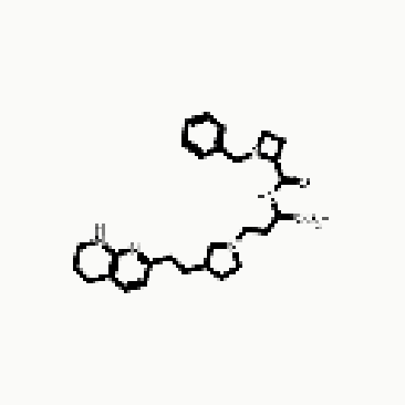 O=C(O)C(CCN1CCC(CCc2ccc3c(n2)NCCC3)C1)NC(=O)C1CCN1Cc1ccccc1